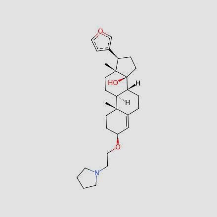 C[C@]12CC[C@H](OCCN3CCCC3)C=C1CC[C@@H]1[C@@H]2CC[C@]2(C)[C@@H](c3ccoc3)CC[C@]12O